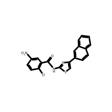 O=C(Nc1nc(-c2ccc3ccccc3c2)cs1)c1cc([N+](=O)[O-])ccc1Cl